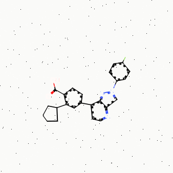 O=C(O)c1ccc(-c2ccnc3cn(-c4ccc(F)cc4)nc23)cc1C1CCCC1